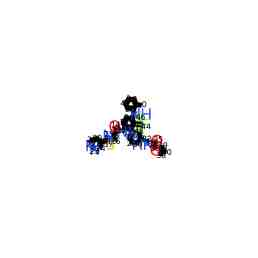 Cc1ccccc1Nc1ccc(NC(=O)c2csc(-c3ccnnc3)n2)c(N2CCC[C@@H](CNC(=O)OC(C)(C)C)C2)c1C(F)(F)F